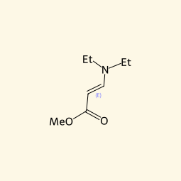 CCN(/C=C/C(=O)OC)CC